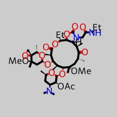 CCNC(=O)CN1C(=O)O[C@]2(C)[C@@H](CC)OC(=O)[C@H](C)[C@@H](O[C@H]3C[C@@](C)(OC)[C@@]4(CO4)[C@H](C)O3)[C@H](C)[C@@H](O[C@@H]3O[C@H](C)C[C@H](N(C)C)[C@H]3OC(C)=O)[C@@](C)(OC)C[C@@H](C)C(=O)[C@H](C)[C@@H]12